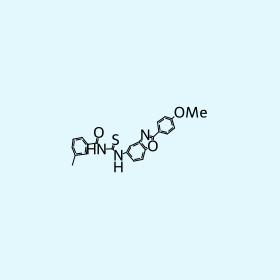 COc1ccc(-c2nc3cc(NC(=S)NC(=O)c4cccc(C)c4)ccc3o2)cc1